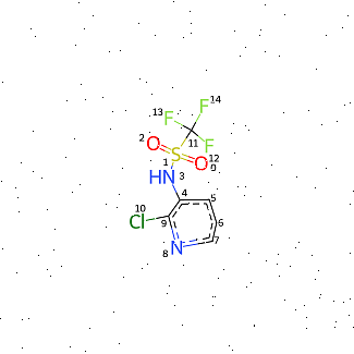 O=S(=O)(Nc1cccnc1Cl)C(F)(F)F